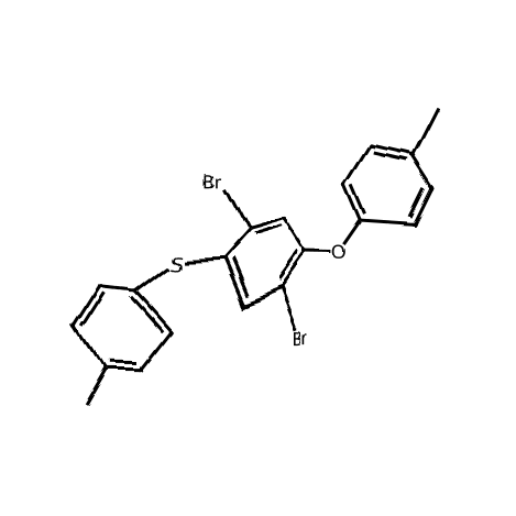 Cc1ccc(Oc2cc(Br)c(Sc3ccc(C)cc3)cc2Br)cc1